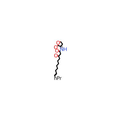 CCCC=CCCCCCCC(=O)CC(=O)N[C@H]1CCOC1=O